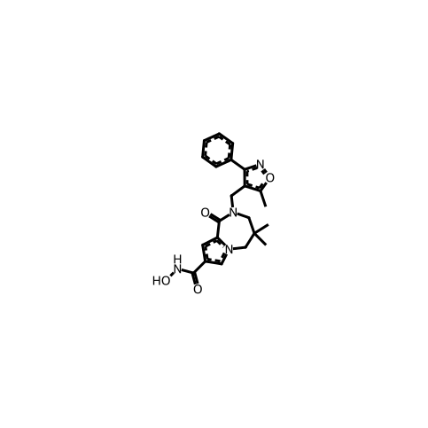 Cc1onc(-c2ccccc2)c1CN1CC(C)(C)Cn2cc(C(=O)NO)cc2C1=O